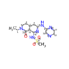 CCn1ccc2cc(Nc3cnccn3)nc(NS(C)(=O)=O)c2c1=O